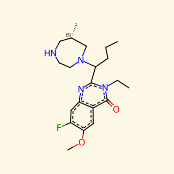 CCCC(c1nc2cc(F)c(OC)cc2c(=O)n1CC)N1CCNC[C@H](C)C1